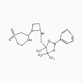 CC1(C)OB(c2ccccc2)OC1(C)CNC1CCC1C1CS(=O)(=O)CCN1